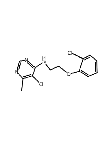 Cc1ncnc(NCCOc2ccccc2Cl)c1Cl